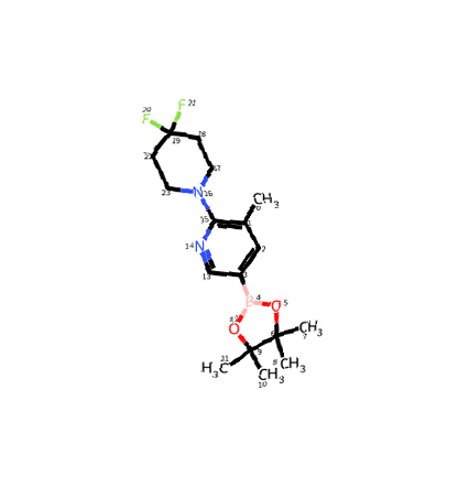 Cc1cc(B2OC(C)(C)C(C)(C)O2)cnc1N1CCC(F)(F)CC1